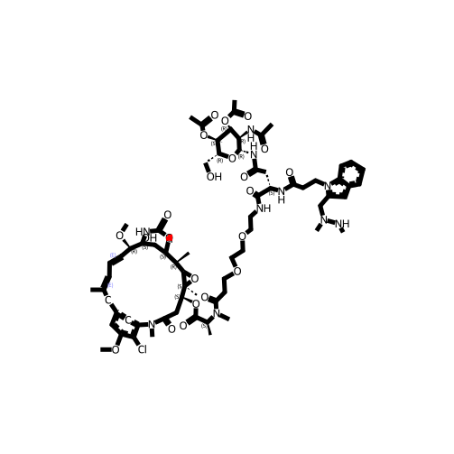 CNN(C)Cc1cc2ccccc2n1CCC(=O)N[C@@H](CC(=O)N[C@@H]1O[C@H](CO)[C@@H](OC(C)=O)[C@H](OC(C)=O)[C@H]1NC(C)=O)C(=O)NCCOCCOCCC(=O)N(C)[C@@H](C)C(=O)O[C@H]1CC(=O)N(C)c2cc(cc(OC)c2Cl)C/C(C)=C/C=C/[C@@H](OC)[C@@]2(O)C[C@H](OC(=O)N2)[C@@H](C)C2O[C@]21C